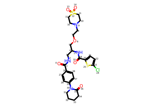 O=C(NCC(COCCN1CCS(=O)(=O)CC1)NC(=O)c1ccc(Cl)s1)c1ccc(N2CCCCC2=O)cc1